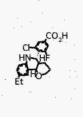 CCc1ccc2c(c1)[C@@H]1OCCC[C@@H]1[C@@H](c1c(F)cc(C(=O)O)cc1Cl)N2